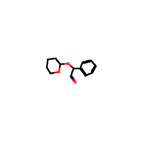 O=CC(OC1CCCCO1)c1ccccc1